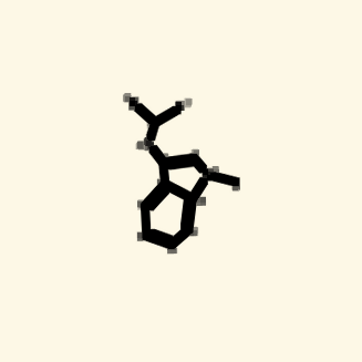 Cn1cc(SC(F)F)c2ccccc21